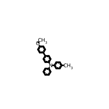 COc1ccc(-c2ccc(N(c3ccccc3)c3ccc(C)cc3)cc2)cc1